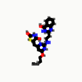 COCCOc1cc(C=C2SC(=O)NC2=O)nc(NCCc2nc3ccccc3c(=O)[nH]2)n1